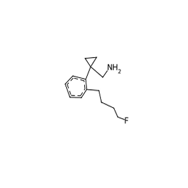 NCC1(c2ccccc2CCCCF)CC1